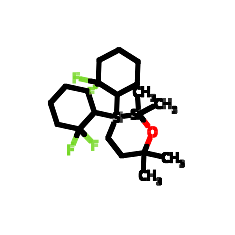 CC1(C)CC[Si](C2CCCCC2(F)F)(C2CCCCC2(F)F)[Si](C)(C)O1